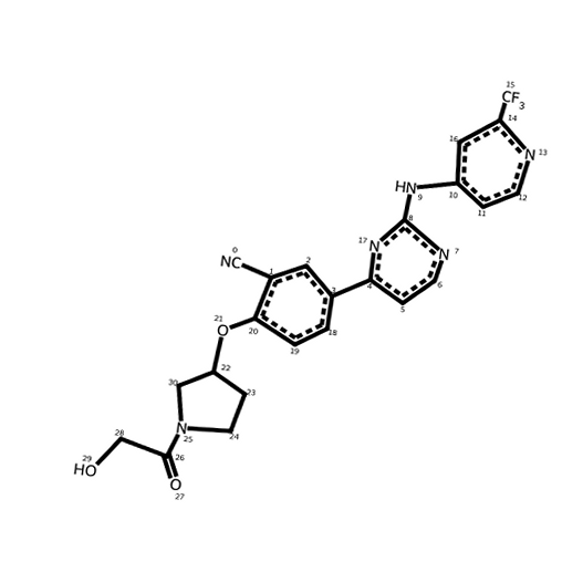 N#Cc1cc(-c2ccnc(Nc3ccnc(C(F)(F)F)c3)n2)ccc1OC1CCN(C(=O)CO)C1